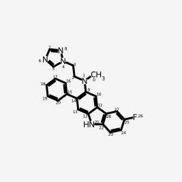 CN(CCn1cncn1)c1cc2c(cc1-c1ccccc1)[nH]c1ccc(F)cc12